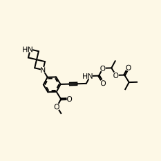 COC(=O)c1ccc(N2CC3(CNC3)C2)cc1C#CCNC(=O)OC(C)OC(=O)C(C)C